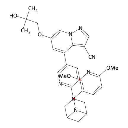 COc1ccc(CN2C3CC2CN(c2ccc(-c4cc(OCC(C)(C)O)cn5ncc(C#N)c45)cn2)C3)c(OC)n1